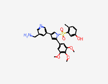 COc1cc(-c2cc(-c3cncc(CN)c3)cn2S(=O)(=O)c2cc(O)ccc2C)cc(OC)c1OC